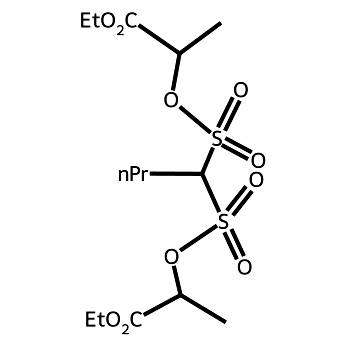 CCCC(S(=O)(=O)OC(C)C(=O)OCC)S(=O)(=O)OC(C)C(=O)OCC